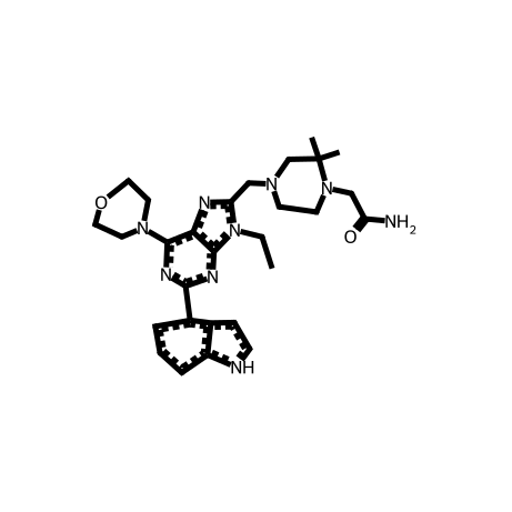 CCn1c(CN2CCN(CC(N)=O)C(C)(C)C2)nc2c(N3CCOCC3)nc(-c3cccc4[nH]ccc34)nc21